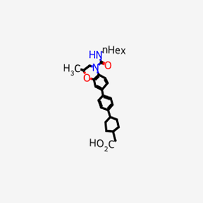 CCCCCCNC(=O)N1CC(C)Oc2cc(-c3ccc(C4CCC(CC(=O)O)CC4)cc3)ccc21